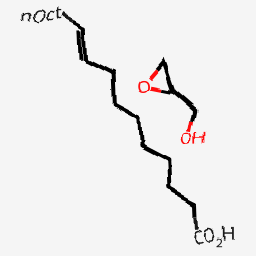 CCCCCCCCC=CCCCCCCCC(=O)O.OCC1CO1